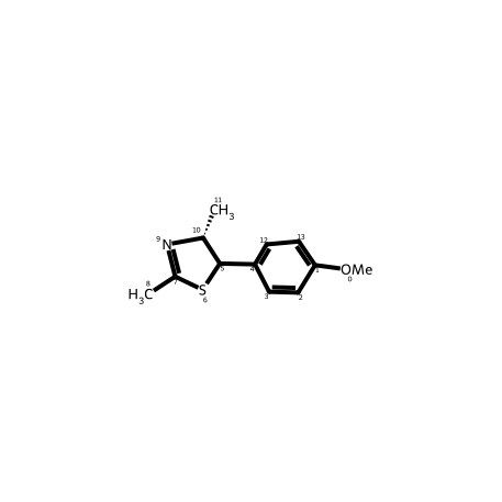 COc1ccc(C2SC(C)=N[C@@H]2C)cc1